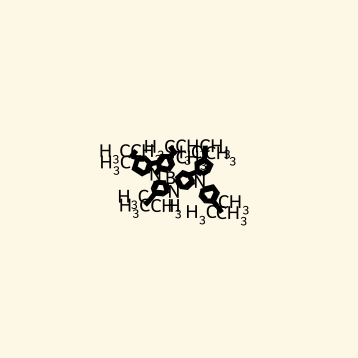 CC(C)(C)c1ccc(-n2c3ccc(C(C)(C)C)cc3c3cc4c(cc32)Nc2cc(C(C)(C)C)cc3c2B4c2cc(C(C)(C)C)cc4c5cc(C(C)(C)C)ccc5n-3c24)cc1